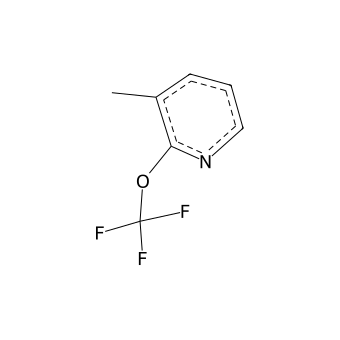 Cc1cccnc1OC(F)(F)F